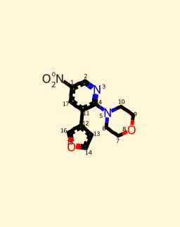 O=[N+]([O-])c1cnc(N2CCOCC2)c(-c2ccoc2)c1